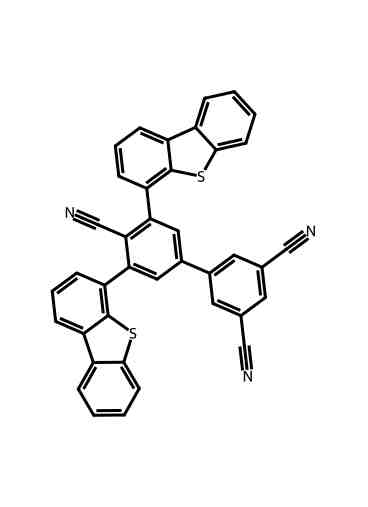 N#Cc1cc(C#N)cc(-c2cc(-c3cccc4c3sc3ccccc34)c(C#N)c(-c3cccc4c3sc3ccccc34)c2)c1